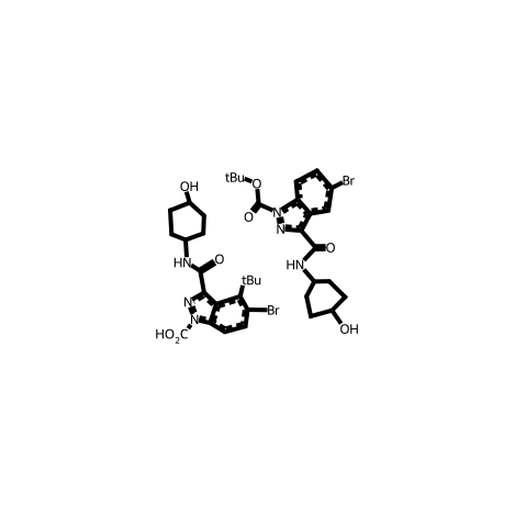 CC(C)(C)OC(=O)n1nc(C(=O)NC2CCC(O)CC2)c2cc(Br)ccc21.CC(C)(C)c1c(Br)ccc2c1c(C(=O)NC1CCC(O)CC1)nn2C(=O)O